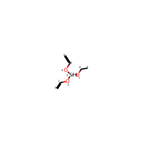 C=CO[SiH](OC=C)OCC